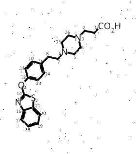 O=C(O)CCN1CCN(CCc2ccc(Oc3nc4ccccc4s3)cc2)CC1